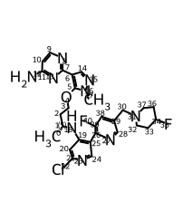 C[C@@H](CCOc1c(-c2nccc(N)n2)cnn1C)Nc1cc(Cl)ncc1-c1ncc(CN2CCC(F)CC2)cc1F